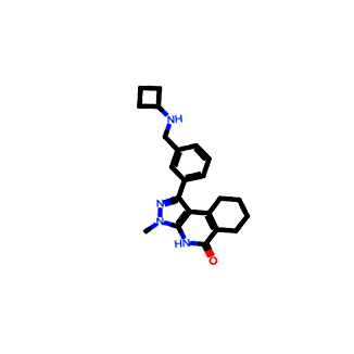 Cn1nc(-c2cccc(CNC3CCC3)c2)c2c3c(c(=O)[nH]c21)CCCC3